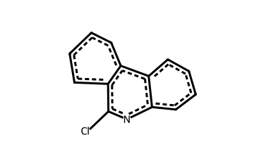 Clc1nc2ccccc2c2ccccc12